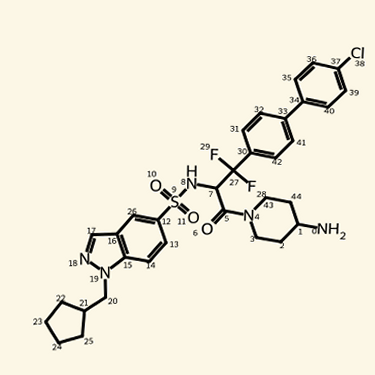 NC1CCN(C(=O)C(NS(=O)(=O)c2ccc3c(cnn3CC3CCCC3)c2)C(F)(F)c2ccc(-c3ccc(Cl)cc3)cc2)CC1